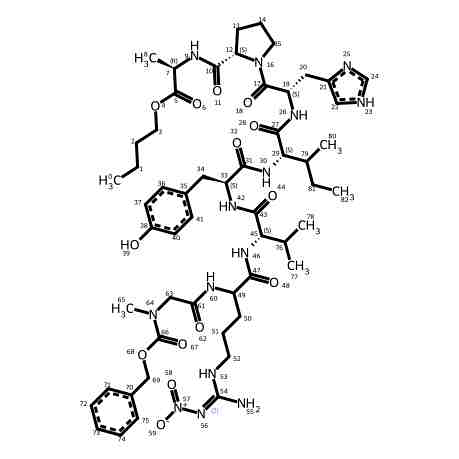 CCCCOC(=O)[C@@H](C)NC(=O)[C@@H]1CCCN1C(=O)[C@H](Cc1c[nH]cn1)NC(=O)[C@@H](NC(=O)[C@H](Cc1ccc(O)cc1)NC(=O)[C@@H](NC(=O)C(CCCN/C(N)=N\[N+](=O)[O-])NC(=O)CN(C)C(=O)OCc1ccccc1)C(C)C)C(C)CC